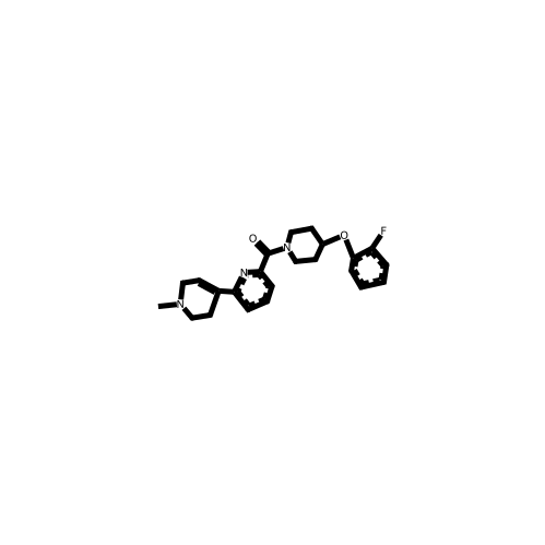 CN1CC=C(c2cccc(C(=O)N3CCC(Oc4ccccc4F)CC3)n2)CC1